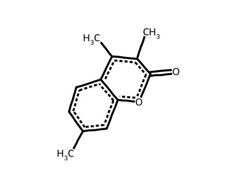 Cc1ccc2c(C)c(C)c(=O)oc2c1